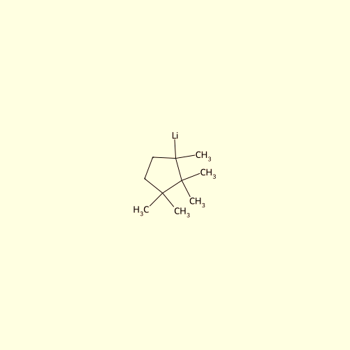 [Li][C]1(C)CCC(C)(C)C1(C)C